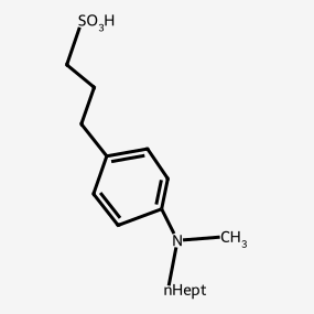 CCCCCCCN(C)c1ccc(CCCS(=O)(=O)O)cc1